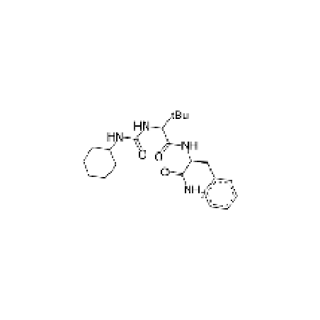 CC(C)(C)C(NC(=O)NC1CCCCC1)C(=O)N[C@@H](Cc1ccccc1)C(N)=O